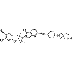 CC1(C)[C@H](Oc2ccc(C#N)c(Cl)c2)C(C)(C)[C@H]1N1Cc2nc(C#CC3CCC(N4CC5(CCNC5)C4)CC3)ccc2C1=O